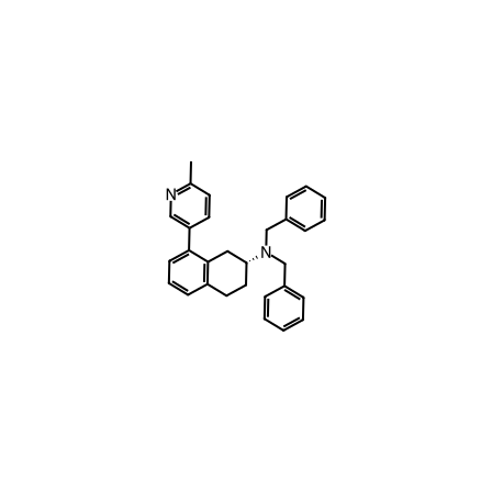 Cc1ccc(-c2cccc3c2C[C@H](N(Cc2ccccc2)Cc2ccccc2)CC3)cn1